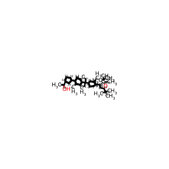 CCC(CC)(c1ccc(CCC(O[Si](C)(C)C(C)(C)C)C(C)(C)C)c(C)c1)c1ccc(-c2cccc(C(C)O)c2)c(C)c1